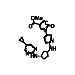 COC(=O)c1ccc(=O)n(-c2ccc(N[C@H]3CC[C@H](Nc4ncc(C5CC5)cn4)C3)nc2)c1